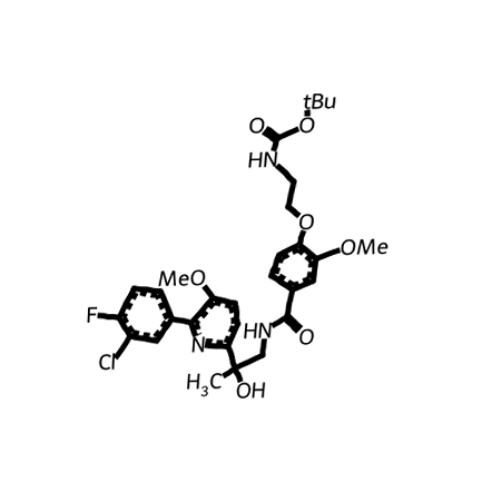 COc1cc(C(=O)NCC(C)(O)c2ccc(OC)c(-c3ccc(F)c(Cl)c3)n2)ccc1OCCNC(=O)OC(C)(C)C